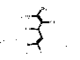 CC(C)=C(O)C(O)C=C(Br)Br